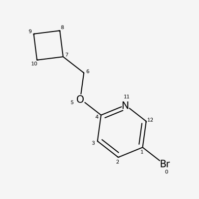 Brc1ccc(OCC2CCC2)nc1